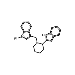 CC(C)n1cc(CN2CCCCC2c2cc3ccccc3[nH]2)c2ccccc21